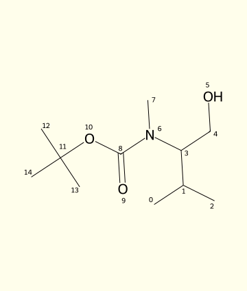 CC(C)C(CO)N(C)C(=O)OC(C)(C)C